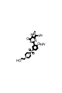 CCCOc1ccc(S(=O)(=O)N2CCN(CCO)CC2)cc1C1=Nc2c(nn(C)c2CCC)C(=O)[N]1